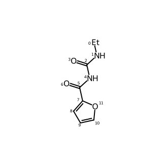 [CH2]CNC(=O)NC(=O)c1ccco1